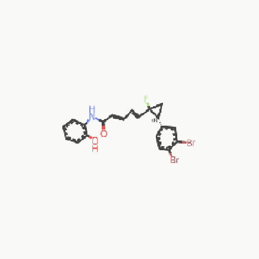 O=C(C=CC=CC1(F)C[C@@H]1c1ccc(Br)c(Br)c1)Nc1ccccc1O